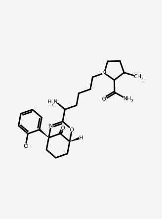 CC1CCN(CCCCC(N)C2=N[C@@]3(c4ccccc4Cl)CCC[C@@H](O2)C3=O)C1C(N)=O